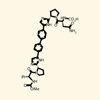 COC(=O)N[C@H](C(=O)N1CCC[C@H]1c1ncc(-c2ccc(-c3ccc(-c4cnc([C@@H]5CCCN5C(=O)[C@H](CC(N)=O)NC(=O)O)[nH]4)cc3)cc2)[nH]1)C(C)C